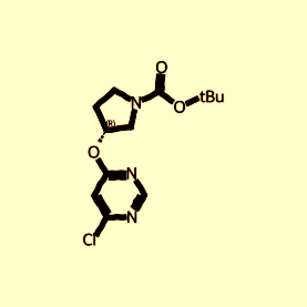 CC(C)(C)OC(=O)N1CC[C@@H](Oc2cc(Cl)ncn2)C1